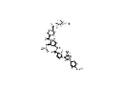 COc1ccc(-n2cc(-c3cnc(C(=O)Nc4ccc(C(=O)N5CCN(C(=O)C[N+]6(C)CC[C@@H](O)C6)CC5)c(Cl)c4)n3C)c(C(F)(F)F)n2)nc1.O=C[O-]